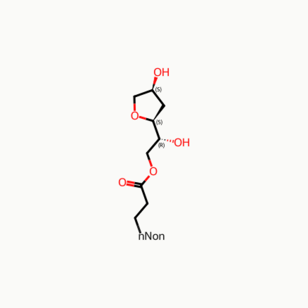 CCCCCCCCCCCC(=O)OC[C@@H](O)[C@@H]1C[C@H](O)CO1